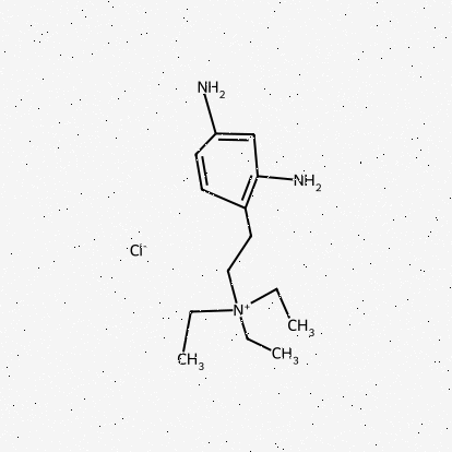 CC[N+](CC)(CC)CCc1ccc(N)cc1N.[Cl-]